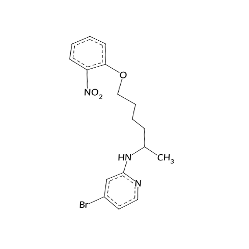 CC(CCCCOc1ccccc1[N+](=O)[O-])Nc1cc(Br)ccn1